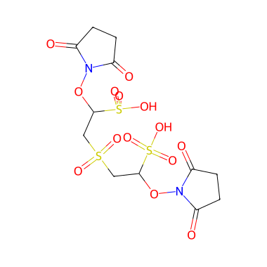 O=C1CCC(=O)N1OC(CS(=O)(=O)CC(ON1C(=O)CCC1=O)S(=O)(=O)O)S(=O)(=O)O